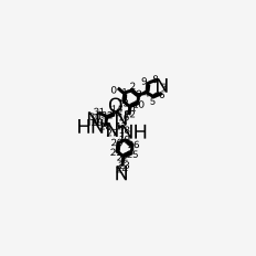 Cc1cc(-c2ccncc2)cc(C)c1Oc1nc(Nc2ccc(C#N)cc2)nc2[nH]ncc12